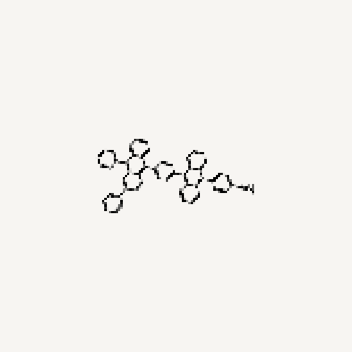 N#Cc1ccc(-c2c3ccccc3c(-c3ccc(-c4c5ccccc5c(-c5ccccc5)c5cc(-c6ccccc6)ccc45)cc3)c3ccccc23)cc1